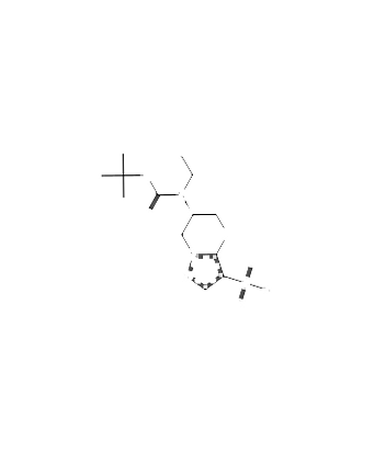 CCN(C(=O)OC(C)(C)C)[C@H]1COc2c(S(N)(=O)=O)cnn2C1